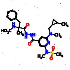 CC1CC1CN(C)c1cc(C(=O)NNC(=O)[C@@](C)(Cc2ccccc2)NC(=O)O)cc(N(C)S(C)(=O)=O)n1